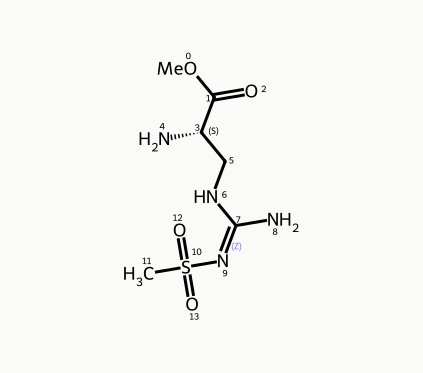 COC(=O)[C@@H](N)CN/C(N)=N\S(C)(=O)=O